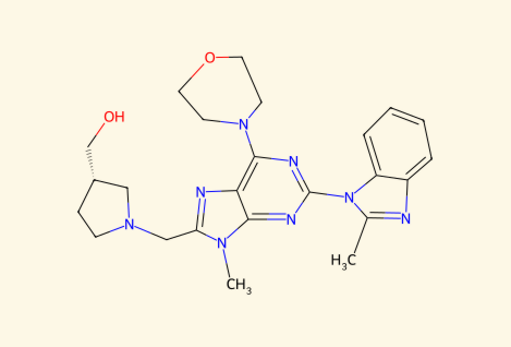 Cc1nc2ccccc2n1-c1nc(N2CCOCC2)c2nc(CN3CC[C@H](CO)C3)n(C)c2n1